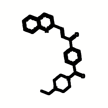 CCN1CCN(C(=O)c2ccc(C(=O)C=Cc3ccc4ccccc4n3)cc2)CC1